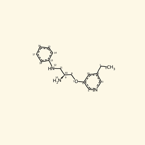 CCc1cncc(OC[C@@H](N)CNc2ccccc2)c1